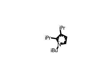 CCC(C)n1ccc(C(C)C)c1C(C)C